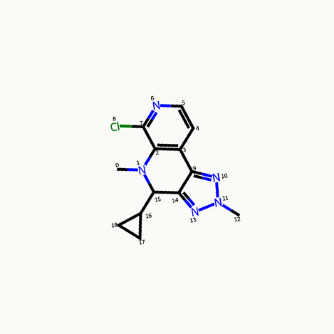 CN1c2c(ccnc2Cl)-c2nn(C)nc2C1C1CC1